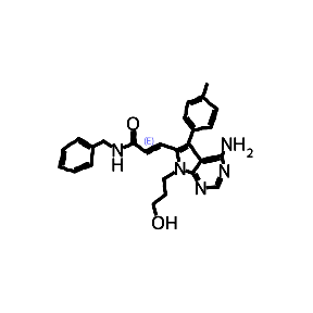 Cc1ccc(-c2c(/C=C/C(=O)NCc3ccccc3)n(CCCO)c3ncnc(N)c23)cc1